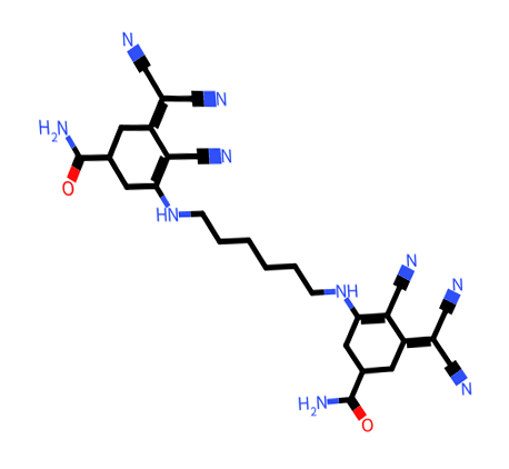 N#CC(C#N)=C1CC(C(N)=O)CC(NCCCCCCNC2=C(C#N)C(=C(C#N)C#N)CC(C(N)=O)C2)=C1C#N